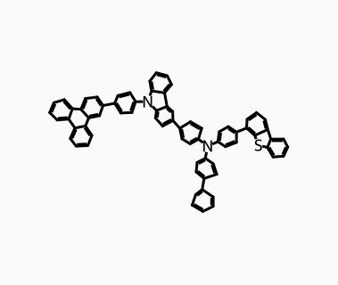 c1ccc(-c2ccc(N(c3ccc(-c4ccc5c(c4)c4ccccc4n5-c4ccc(-c5ccc6c7ccccc7c7ccccc7c6c5)cc4)cc3)c3ccc(-c4cccc5c4sc4ccccc45)cc3)cc2)cc1